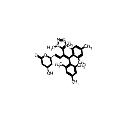 Cc1cc(C)c(C(=C(C=C[C@@H]2C[C@@H](O)CC(=O)O2)c2nnnn2C)c2c(C)cc(C)cc2C)c(C)c1